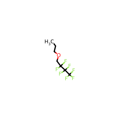 CCCOCC(F)(F)C(F)(F)C(F)(F)F